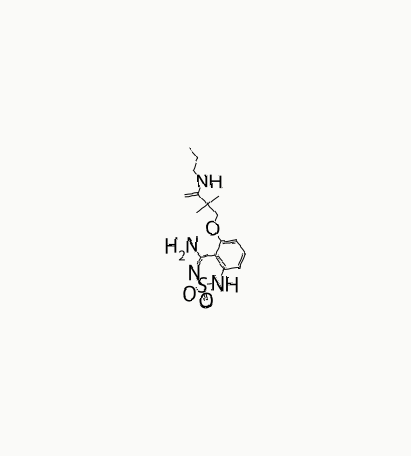 C=C(NCCC)C(C)(C)COc1cccc2c1C(N)=NS(=O)(=O)N2